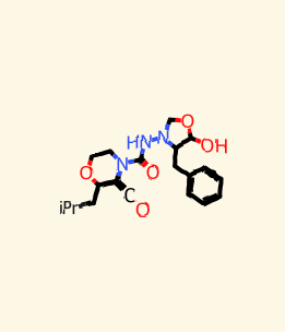 CC(C)CC1OCCN(C(=O)NN2COC(O)C2Cc2ccccc2)C1=C=O